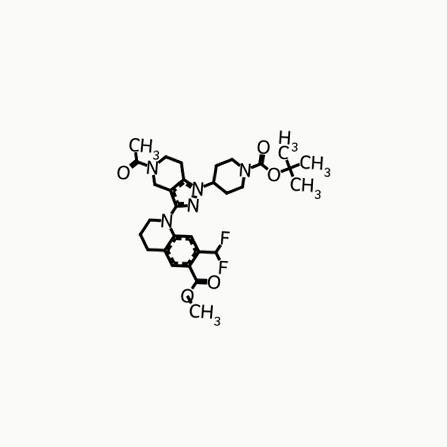 COC(=O)c1cc2c(cc1C(F)F)N(c1nn(C3CCN(C(=O)OC(C)(C)C)CC3)c3c1CN(C(C)=O)CC3)CCC2